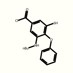 CCCCNc1cc(C(=O)Cl)cc(S)c1Oc1ccccc1